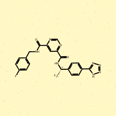 O=C(NCc1ccc(F)cc1)c1cc(C(=O)N[C@H](c2ccc(-c3nnn[nH]3)cc2)C(F)(F)F)ncn1